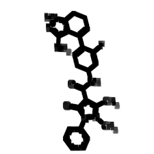 Cc1c(C(=O)NC2C=C(F)C(C3=CCCc4[nH]nc(N)c43)=CC2)c(=O)n(-c2ccccc2)n1C